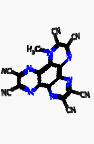 CN1C2=C3N=C(C#N)C(C#N)=NC3C3N=C(C#N)C(C#N)=NC3=C2N=C(C#N)C1C#N